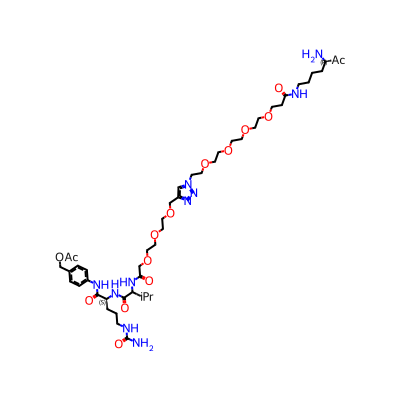 CC(=O)OCc1ccc(NC(=O)[C@H](CCCNC(N)=O)NC(=O)C(NC(=O)COCCOCCOCc2cn(CCOCCOCCOCCOCCC(=O)NCCCC[C@@H](N)C(C)=O)nn2)C(C)C)cc1